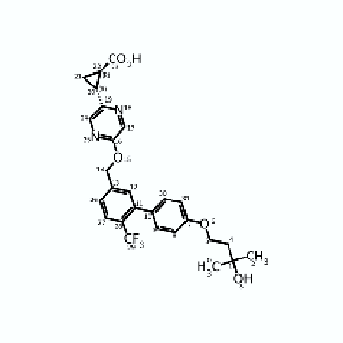 CC(C)(O)CCOc1ccc(-c2cc(COc3cnc([C@@H]4C[C@H]4C(=O)O)cn3)ccc2C(F)(F)F)cc1